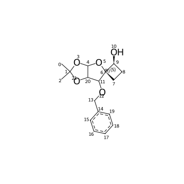 CC1(C)OC2O[C@@]3(CC[C@@H]3O)C(OCc3ccccc3)C2O1